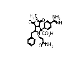 CN1C(=O)C2C(Cc3ccccc3)N(CCC(N)=O)C(C(=O)O)(c3ccc(C(=N)N)cc3)C2C1=O